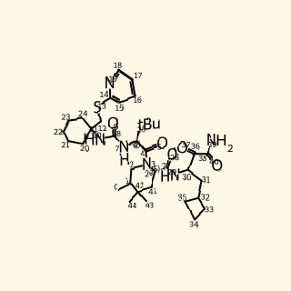 CC1CN(C(=O)[C@@H](NC(=O)NC2(CSc3ccccn3)CCCCC2)C(C)(C)C)[C@H](C(=O)NC(CC2CCC2)C(=O)C(N)=O)CC1(C)C